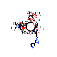 CO[C@H]1[C@H](O[C@@H]2[C@@H](C)[C@H](O[C@H]3C[C@@](C)(OC)[C@@H](OC(C)=O)[C@H](C)O3)[C@@H](C)C(=O)O[C@@H]3C(C)[C@@]34OC(=O)N(CCCCn3cnc(-c5cccnc5)c3)[C@@H]4[C@@H](C)C(=O)[C@H](C)C[C@]2(C)OC)O[C@H](C)C[C@@H]1N(C)C